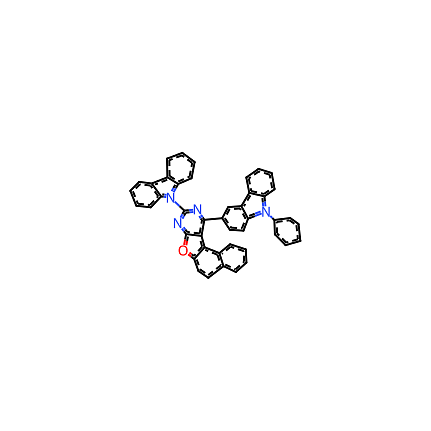 c1ccc(-n2c3ccccc3c3cc(-c4nc(-n5c6ccccc6c6ccccc65)nc5oc6ccc7ccccc7c6c45)ccc32)cc1